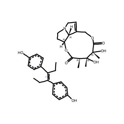 CC/C(=C(/CC)c1ccc(O)cc1)c1ccc(O)cc1.C[C@H]1C(=O)O[C@@H]2CCN3CC=C(COC(=O)[C@](C)(O)[C@]1(C)O)[C@H]23